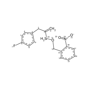 C=C(Cc1ccc(F)cc1)[SiH2]OCc1ccccc1[N+](=O)[O-]